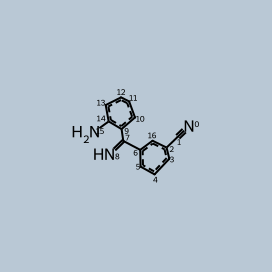 N#Cc1cccc(C(=N)c2ccccc2N)c1